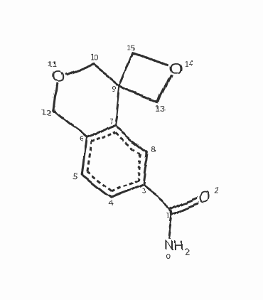 NC(=O)c1ccc2c(c1)C1(COC2)COC1